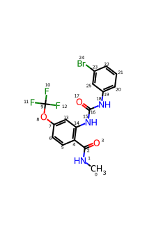 CNC(=O)c1ccc(OC(F)(F)F)cc1NC(=O)Nc1cccc(Br)c1